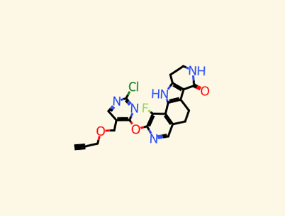 C#CCOCc1cnc(Cl)nc1Oc1ncc2c(c1F)-c1[nH]c3c(c1CC2)C(=O)NCC3